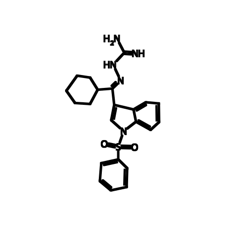 N=C(N)NN=C(c1cn(S(=O)(=O)c2ccccc2)c2ccccc12)C1CCCCC1